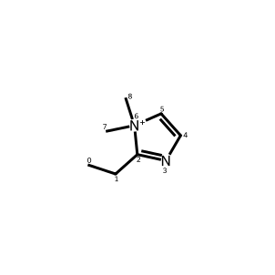 CCC1=NC=C[N+]1(C)C